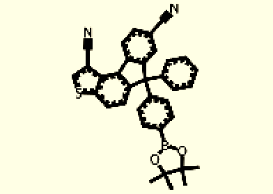 CC1(C)OB(c2ccc(C3(c4ccccc4)c4cc(C#N)ccc4-c4c3ccc3scc(C#N)c43)cc2)OC1(C)C